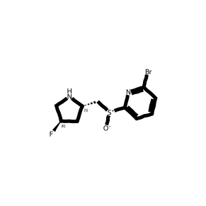 [O-][S+](C[C@@H]1C[C@@H](F)CN1)c1cccc(Br)n1